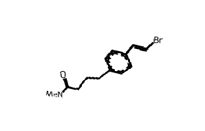 CNC(=O)CCCc1ccc(C=CBr)cc1